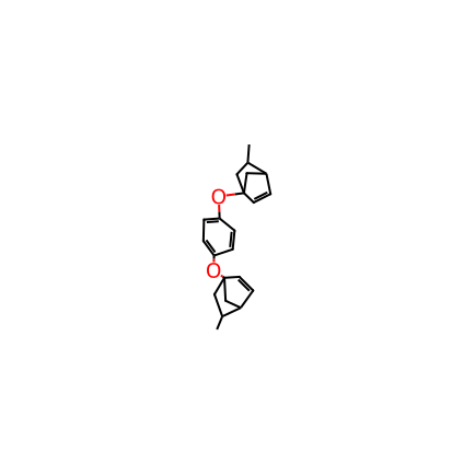 CC1CC2(Oc3ccc(OC45C=CC(C4)C(C)C5)cc3)C=CC1C2